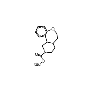 CC(C)(C)OC(=O)N1CCC2CCOc3ccccc3C2C1